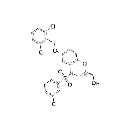 O=S(=O)(c1cccc(Cl)c1)N1C[C@H](CO)Oc2ccc(OCc3c(Cl)cccc3Cl)nc21